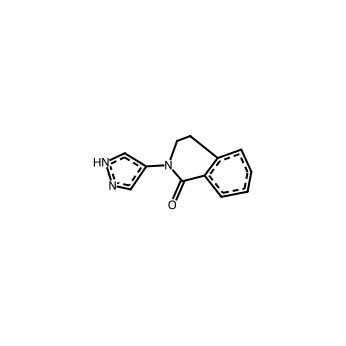 O=C1c2ccccc2CCN1c1cn[nH]c1